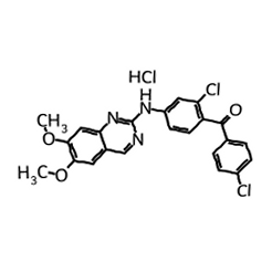 COc1cc2cnc(Nc3ccc(C(=O)c4ccc(Cl)cc4)c(Cl)c3)nc2cc1OC.Cl